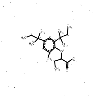 CCC(Oc1c(C)cc(C(C)(C)CC)cc1C(C)(C)CC)C(=O)Cl